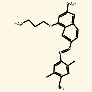 Cc1cc(N=Nc2ccc3cc(S(=O)(=O)O)cc(OCCCS(=O)(=O)O)c3c2)c(C)cc1N